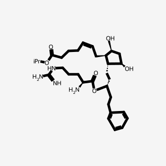 CC(C)OC(=O)CCC/C=C\C[C@@H]1[C@@H](CC[C@H](CCc2ccccc2)OC(=O)[C@@H](N)CCCNC(=N)N)[C@H](O)C[C@@H]1O